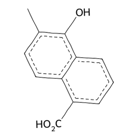 Cc1ccc2c(C(=O)O)cccc2c1O